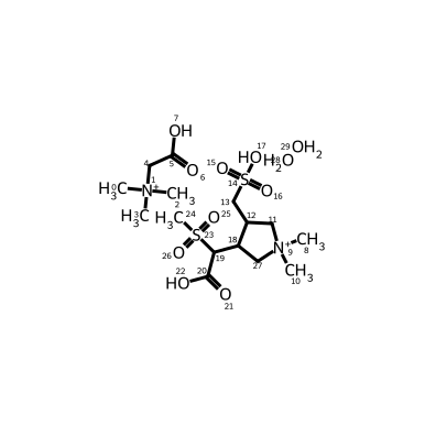 C[N+](C)(C)CC(=O)O.C[N+]1(C)CC(CS(=O)(=O)O)C(C(C(=O)O)S(C)(=O)=O)C1.O.O